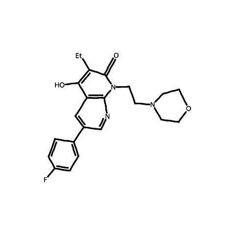 CCc1c(O)c2cc(-c3ccc(F)cc3)cnc2n(CCN2CCOCC2)c1=O